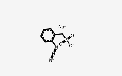 [N-]=[N+]=Nc1ccccc1CS(=O)(=O)[O-].[Na+]